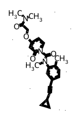 Cc1ccc(C#CC2CC2)cc1N(C)C(=O)n1ccc(OCC(=O)N(C)C)cc1=O